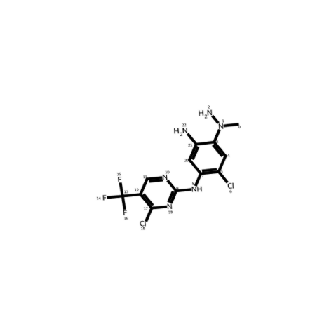 CN(N)c1cc(Cl)c(Nc2ncc(C(F)(F)F)c(Cl)n2)cc1N